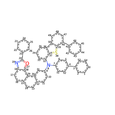 c1ccc(-c2ccc(N(c3ccc4ccc5ccc6nc(-c7ccccc7)oc6c5c4c3)c3cccc4c3sc3c(-c5ccccc5)cccc34)cc2)cc1